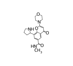 CNC(=O)c1cc(C2CCCN2)c2oc(N3CCOCC3)cc(=O)c2c1